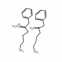 C=C(CCCCC)Cc1ccccc1.C=C(CCCCC)Cc1ccccc1.O